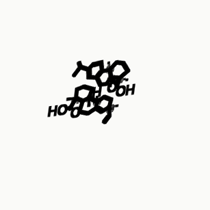 C=C[C@@]1(C)C=C2CCC3[C@](C)(C(=O)O)CCC[C@]3(C)[C@H]2CC1.CC(C)c1ccc2c(c1)CC[C@H]1[C@](C)(C(=O)O)CCC[C@]21C